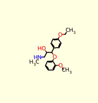 CCOc1ccc(C(Oc2ccccc2OC)C(O)CNC)cc1